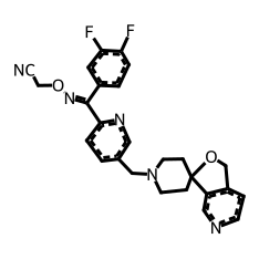 N#CCON=C(c1ccc(F)c(F)c1)c1ccc(CN2CCC3(CC2)OCc2ccncc23)cn1